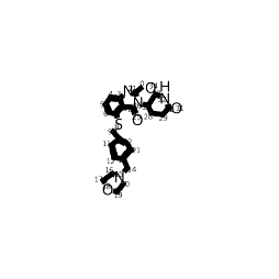 Cc1nc2cccc(SCc3ccc(CN4CCOCC4)cc3)c2c(=O)n1C1CCC(=O)NC1=O